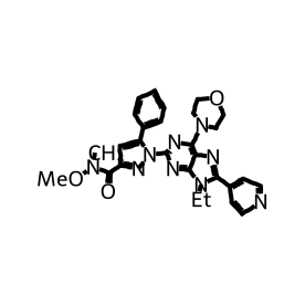 CCn1c(-c2ccncc2)nc2c(N3CCOCC3)nc(-n3nc(C(=O)N(C)OC)cc3-c3ccccc3)nc21